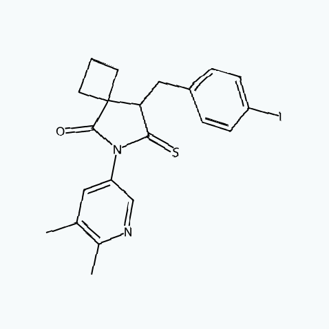 Cc1cc(N2C(=O)C3(CCC3)C(Cc3ccc(I)cc3)C2=S)cnc1C